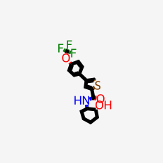 O=C(NC1CCCCC1O)c1cc(-c2ccc(OC(F)(F)F)cc2)cs1